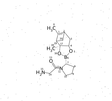 CC1=C2CC3OB([C@@H]4CCCN4C(=O)CN)O[C@@]3(C)C1C2